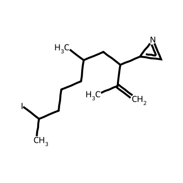 C=C(C)C(CC(C)CCCC(C)I)C1=C=N1